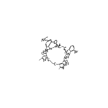 CCn1nc(C)c2c1C(=O)Nc1nc3c(Br)cccc3n1CCC[C@H]1COc3cc(C#N)cc4nc(n1c34)NC(=O)c1cc(C)nn1CCCCC2